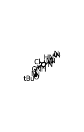 Cc1c(-c2ncnc(Nc3cnn(C)c3)n2)ccc([C@@H](C)NC(=O)c2noc(C(C)(C)C)n2)c1Cl